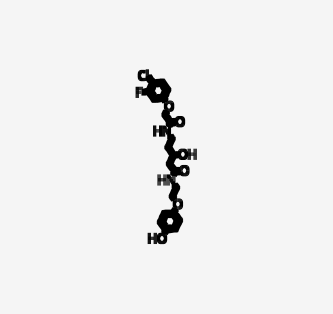 O=C(COc1ccc(Cl)c(F)c1)NCCC(O)CC(=O)NCCOc1ccc(O)cc1